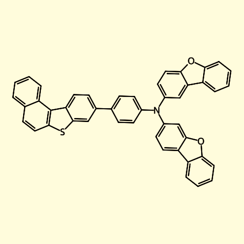 c1ccc2c(c1)ccc1sc3cc(-c4ccc(N(c5ccc6c(c5)oc5ccccc56)c5ccc6oc7ccccc7c6c5)cc4)ccc3c12